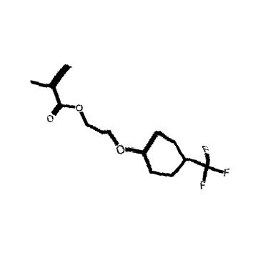 C=C(C)C(=O)OCCOC1CCC(C(F)(F)F)CC1